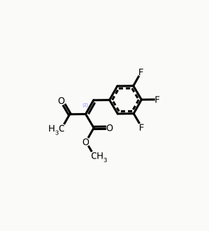 COC(=O)/C(=C\c1cc(F)c(F)c(F)c1)C(C)=O